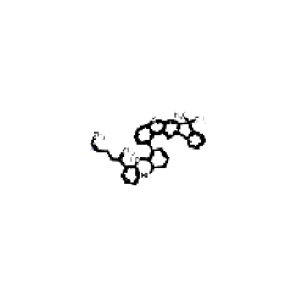 C=C(CC/C=C\C)c1ccccc1NC1=C(c2cccc3sc4cc5c(cc4c23)-c2ccccc2C5(C)C)C=CCC1C#N